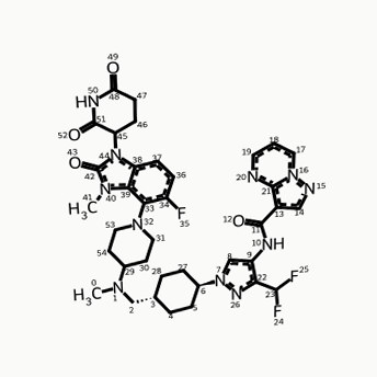 CN(C[C@H]1CC[C@H](n2cc(NC(=O)c3cnn4cccnc34)c(C(F)F)n2)CC1)C1CCN(c2c(F)ccc3c2n(C)c(=O)n3C2CCC(=O)NC2=O)CC1